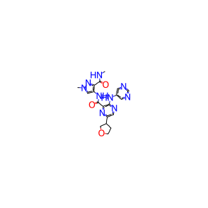 CNC(=O)c1nn(C)cc1NC(=O)c1nc(C2CCOC2)cnc1Nc1cncnc1